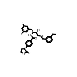 CCc1cccc(CNC[C@@H](O)[C@H](Cc2cc(F)cc(F)c2)NC(=O)c2ccc(N3CCOC3=O)cc2)c1